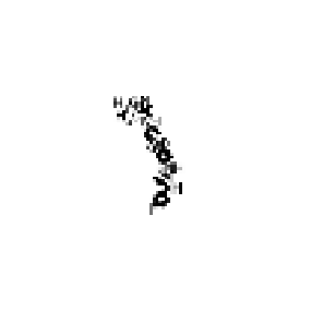 Cc1c(CNC2CCN(S(=O)(=O)c3ccc(Nc4nccc(Nc5ccc(F)cc5)n4)cc3)CC2)cnn1C